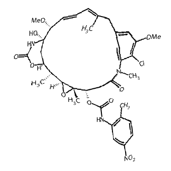 COc1cc2cc(c1Cl)N(C)C(=O)C[C@H](OC(=O)Nc1cc([N+](=O)[O-])ccc1C)[C@]1(C)O[C@H]1[C@H](C)[C@@H]1C[C@@](O)(NC(=O)O1)[C@H](OC)/C=C/C=C(\C)C2